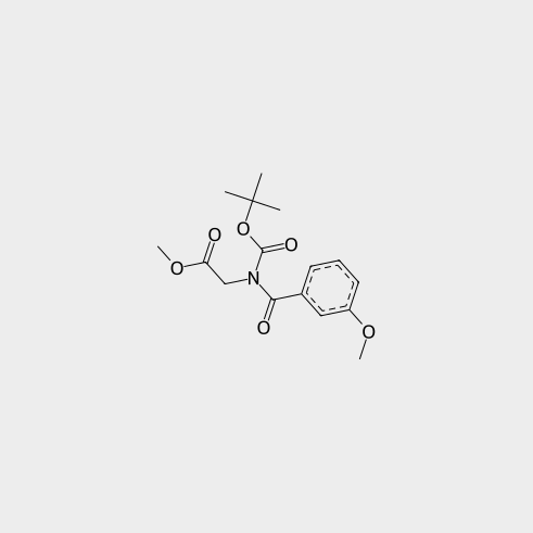 COC(=O)CN(C(=O)OC(C)(C)C)C(=O)c1cccc(OC)c1